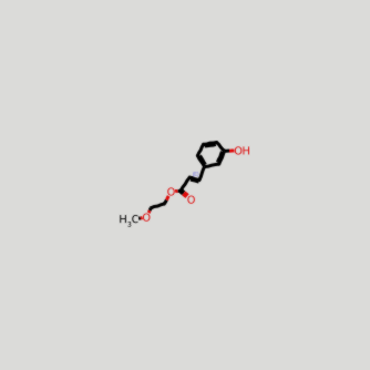 COCCOC(=O)/C=C/c1cccc(O)c1